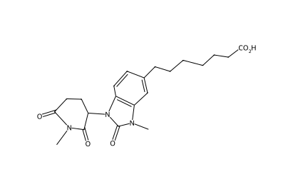 CN1C(=O)CCC(n2c(=O)n(C)c3cc(CCCCCCC(=O)O)ccc32)C1=O